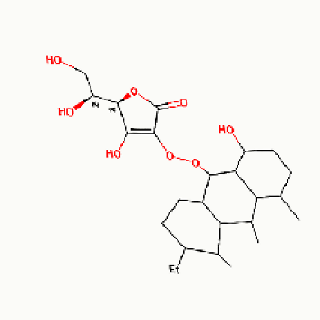 CCC1CCC2C(OOC3=C(O)[C@@H]([C@@H](O)CO)OC3=O)C3C(O)CCC(C)C3C(C)C2C1C